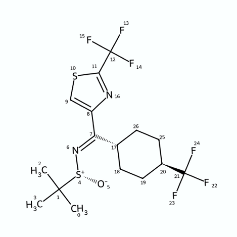 CC(C)(C)[S@@+]([O-])/N=C(/c1csc(C(F)(F)F)n1)[C@H]1CC[C@H](C(F)(F)F)CC1